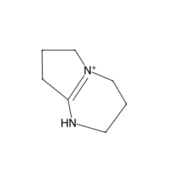 C1CNC2=[N+](C1)CCC2